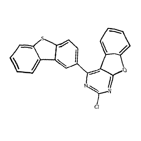 Clc1nc(-c2ccc3sc4ccccc4c3c2)c2c(n1)oc1ccccc12